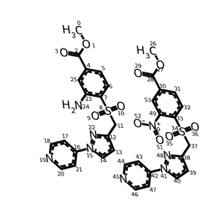 COC(=O)c1ccc(S(=O)(=O)Cc2ccn(-c3ccncc3)n2)c(N)c1.COC(=O)c1ccc(S(=O)(=O)Cc2ccn(-c3ccncc3)n2)c([N+](=O)[O-])c1